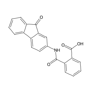 O=C(O)c1ccccc1C(=O)Nc1ccc2c(c1)C(=O)c1ccccc1-2